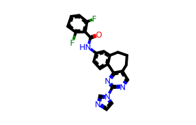 O=C(Nc1ccc2c(c1)CCCc1cnc(-n3ccnc3)nc1-2)c1c(F)cccc1F